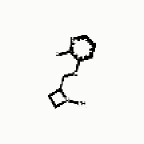 CN1CC[C@H]1COc1cccnc1F